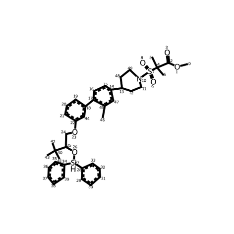 COC(=O)C(C)(C)S(=O)(=O)N1CCC(c2ccc(-c3cccc(OCC(O[SiH](c4ccccc4)c4ccccc4)C(C)(C)C)c3)c(C)c2)CC1